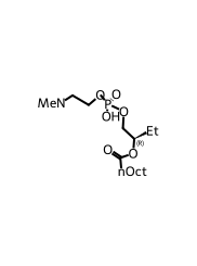 CCCCCCCCC(=O)O[C@H](CC)COP(=O)(O)OCCNC